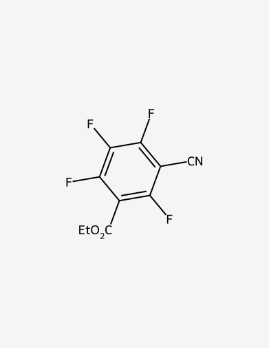 CCOC(=O)c1c(F)c(F)c(F)c(C#N)c1F